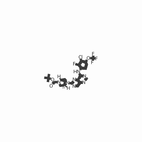 CC(C)(C)OC(=O)N1C[C@@H]2C[C@H]1CN2c1ncc2ncnc(Nc3ccc(OC(F)(F)F)c(Cl)c3F)c2n1